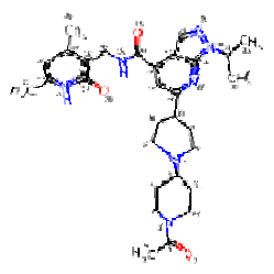 CC(=O)N1CCC(N2CCC(c3cc(C(=O)NCc4c(C)cc(C)[nH]c4=O)c4cnn(C(C)C)c4n3)CC2)CC1